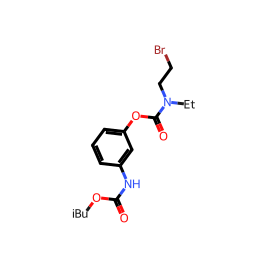 CCC(C)OC(=O)Nc1cccc(OC(=O)N(CC)CCBr)c1